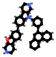 c1cc(-c2cc3ccccc3c3ccccc23)cc(-n2c3cnccc3c3ccc(-c4ccc5c(c4)oc4cnccc45)cc32)c1